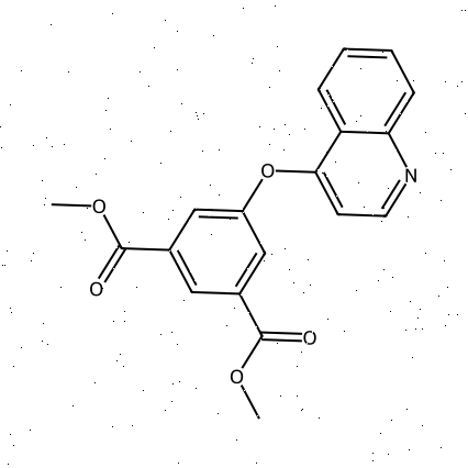 COC(=O)c1cc(Oc2ccnc3ccccc23)cc(C(=O)OC)c1